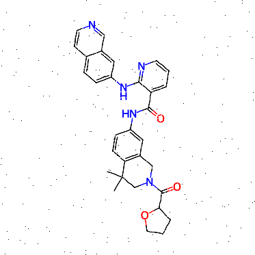 CC1(C)CN(C(=O)C2CCCO2)Cc2cc(NC(=O)c3cccnc3Nc3ccc4ccncc4c3)ccc21